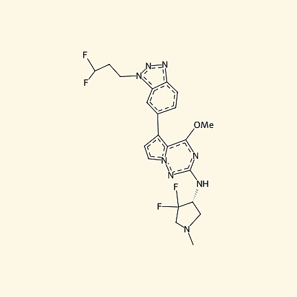 COc1nc(N[C@@H]2CN(C)CC2(F)F)nn2ccc(-c3ccc4nnn(CCC(F)F)c4c3)c12